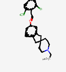 O=C(O)CN1CCC2(CC1)Cc1ccc(OCc3c(Cl)cccc3Cl)cc1C2